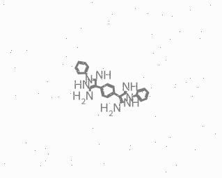 N=c1c(-c2ccc(-c3c(N)[nH]n(-c4ccccc4)c3=N)cc2)c(N)[nH]n1-c1ccccc1